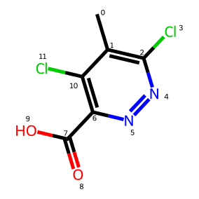 Cc1c(Cl)nnc(C(=O)O)c1Cl